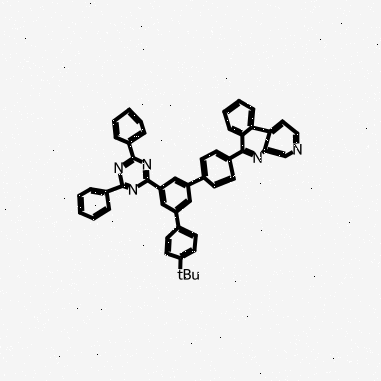 CC(C)(C)c1ccc(-c2cc(-c3ccc(-c4nc5cnccc5c5ccccc45)cc3)cc(-c3nc(-c4ccccc4)nc(-c4ccccc4)n3)c2)cc1